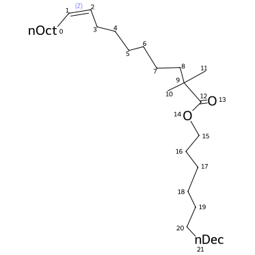 CCCCCCCC/C=C\CCCCCCC(C)(C)C(=O)OCCCCCCCCCCCCCCCC